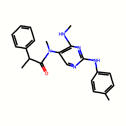 CNc1nc(Nc2ccc(C)cc2)ncc1N(C)C(=O)C(C)c1ccccc1